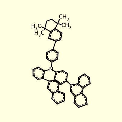 CC1(C)CCC(C)(C)c2cc(-c3ccc(N(c4ccc(-c5cc6ccccc6c6ccccc56)cc4)c4ccccc4-c4ccc5ccccc5c4)cc3)ccc21